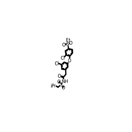 CCS(=O)(=O)c1ccc(Oc2cc(Cl)cc(CC(=O)NS(=O)(=O)CC(C)C)c2)c(Cl)c1